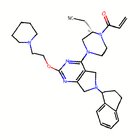 C=CC(=O)N1CCN(c2nc(OCCN3CCCCC3)nc3c2CN(C2CCc4ccccc42)C3)C[C@@H]1CC#N